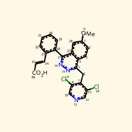 COc1ccc2c(Cc3c(Cl)cncc3Cl)nnc(-c3ccccc3C=CC(=O)O)c2c1